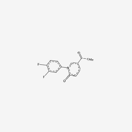 COC(=O)c1ccc(=O)n(-c2ccc(F)c(F)c2)c1